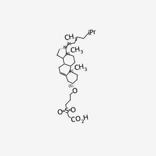 CC(C)CCC[C@@H](C)[C@H]1CCC2C3CC=C4C[C@@H](OCCCS(=O)(=O)CC(=O)O)CC[C@]4(C)C3CC[C@@]21C